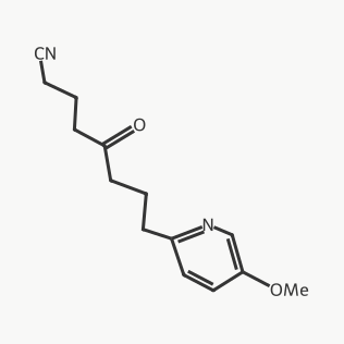 COc1ccc(CCCC(=O)CCCC#N)nc1